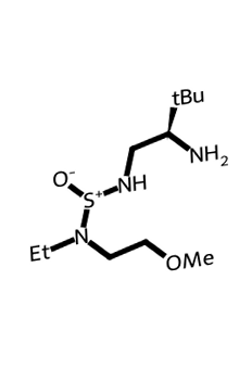 CCN(CCOC)[S+]([O-])NC[C@H](N)C(C)(C)C